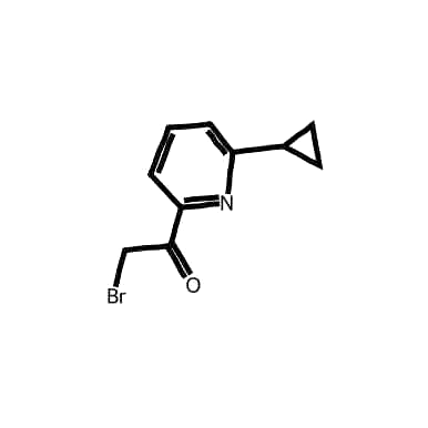 O=C(CBr)c1cccc(C2CC2)n1